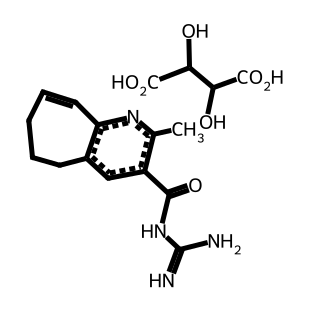 Cc1nc2c(cc1C(=O)NC(=N)N)CCCC=C2.O=C(O)C(O)C(O)C(=O)O